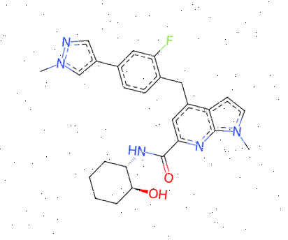 Cn1cc(-c2ccc(Cc3cc(C(=O)N[C@H]4CCCC[C@@H]4O)nc4c3ccn4C)c(F)c2)cn1